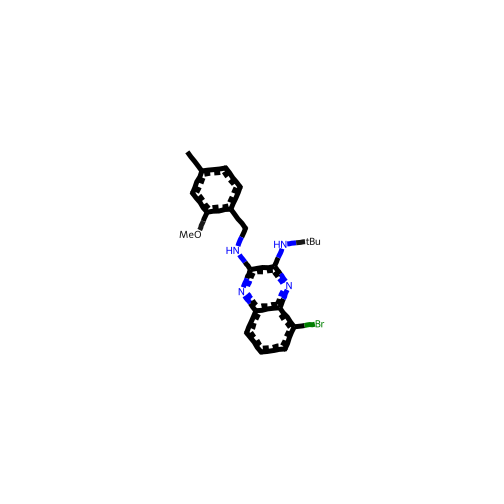 COc1cc(C)ccc1CNc1nc2cccc(Br)c2nc1NC(C)(C)C